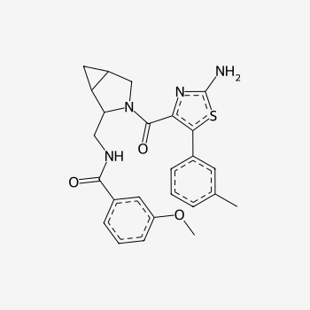 COc1cccc(C(=O)NCC2C3CC3CN2C(=O)c2nc(N)sc2-c2cccc(C)c2)c1